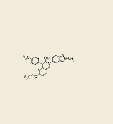 Cc1ccc(C2=c3nc(OCC(F)(F)F)ccc3=CN(c3ccc4nn(C)cc4c3)C2O)cn1